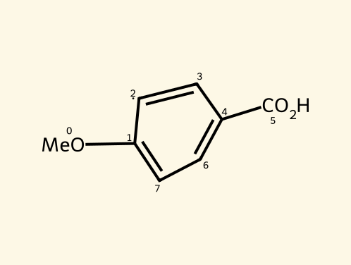 COc1[c]cc(C(=O)O)cc1